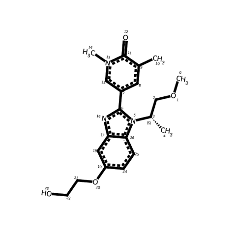 COC[C@H](C)n1c(-c2cc(C)c(=O)n(C)c2)nc2cc(OCCO)ccc21